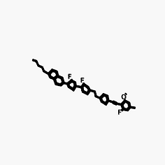 CCCCCc1ccc2cc(-c3ccc(-c4ccc(CCc5ccc(C#Cc6c(F)cc(C)cc6OC)cc5)cc4F)cc3F)ccc2c1